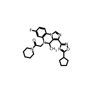 CC1c2c(-c3noc(C4CCCC4)n3)ncn2-c2ccc(F)cc2N1CC(=O)N1CCCCC1